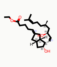 CCOC(=O)CCC/C=C1\C[C@H]2C[C@@H](O)[C@@H](/C=C\[C@@H](O)C[C@H](C)CCC=C(C)C)[C@H]2C1